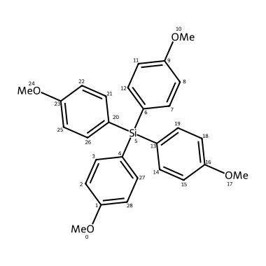 COc1ccc([Si](c2ccc(OC)cc2)(c2ccc(OC)cc2)c2ccc(OC)cc2)cc1